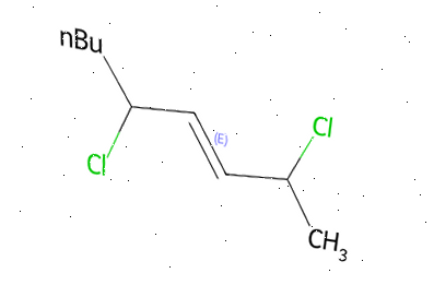 CCCCC(Cl)/C=C/C(C)Cl